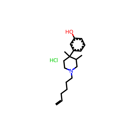 C=CCCCCN1CCC(C)(c2cccc(O)c2)C(C)C1.Cl